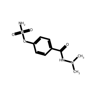 CN(C)NC(=O)c1ccc(OS(N)(=O)=O)cc1